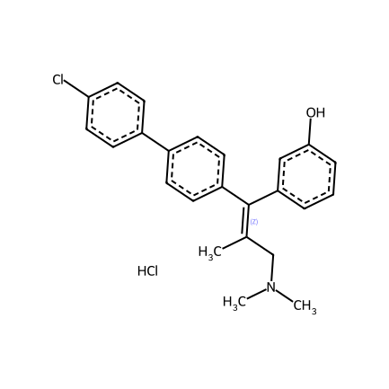 C/C(CN(C)C)=C(\c1ccc(-c2ccc(Cl)cc2)cc1)c1cccc(O)c1.Cl